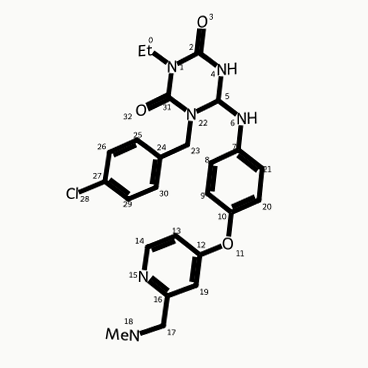 CCN1C(=O)NC(Nc2ccc(Oc3ccnc(CNC)c3)cc2)N(Cc2ccc(Cl)cc2)C1=O